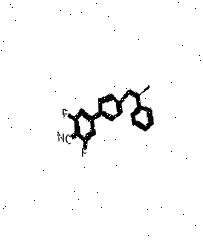 C[C@H](Cc1ccc(-c2cc(F)c(C#N)c(F)c2)cc1)c1ccccc1